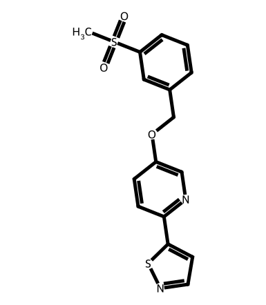 CS(=O)(=O)c1cccc(COc2ccc(-c3ccns3)nc2)c1